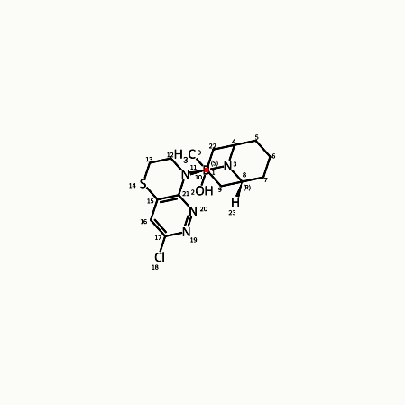 CB(O)N1C2CCC[C@@H]1C[C@@H](N1CCSc3cc(Cl)nnc31)C2